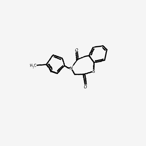 Cc1ccc(N2CC(=O)Sc3ccccc3C2=O)cc1